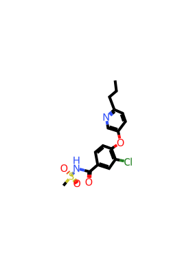 CCCc1ccc(Oc2ccc(C(=O)NS(C)(=O)=O)cc2Cl)cn1